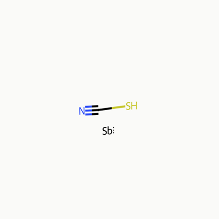 N#CS.[Sb]